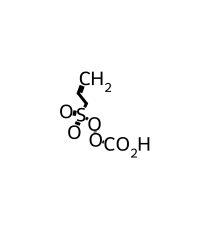 C=CCS(=O)(=O)OOC(=O)O